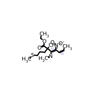 C=N/C(=C(\C=C/C)[N+](=O)[O-])C(C)(CCCSC)C(=O)OCC